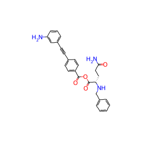 NC(=O)CC[C@H](NCc1ccccc1)C(=O)OC(=O)c1ccc(C#Cc2cccc(N)c2)cc1